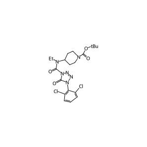 CCN(C(=O)n1nnn(-c2c(Cl)cccc2Cl)c1=O)C1CCN(C(=O)OC(C)(C)C)CC1